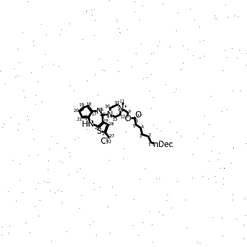 CCCCCCCCCCCCCCCC(=O)OC[N+]1(C)CCN(C2=Nc3ccccc3Nc3sc(C)cc32)CC1.[Cl-]